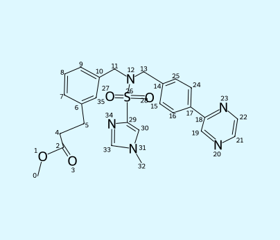 COC(=O)CCc1cccc(CN(Cc2ccc(-c3cnccn3)cc2)S(=O)(=O)c2cn(C)cn2)c1